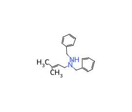 CC(C)=CCN(Cc1ccccc1)NCc1ccccc1